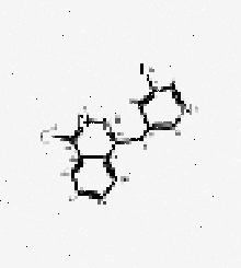 Fc1cncc(Cc2nnc(Cl)c3ccccc23)c1